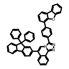 c1ccc(C2(c3ccccc3)c3ccccc3-c3ccc(-c4cn5c(-c6ccc(-c7cccc8c7oc7ccccc78)cc6)nnc5c5ccccc45)cc32)cc1